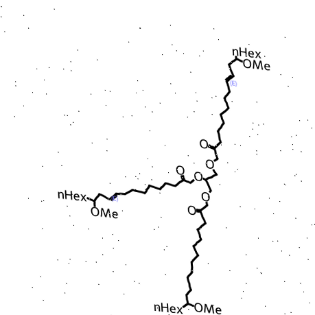 CCCCCCC(C/C=C/CCCCCCCC(=O)COCC(COCC(=O)CCCCCCCCCCC(CCCCCC)OC)OCC(=O)CCCCCCC/C=C/CC(CCCCCC)OC)OC